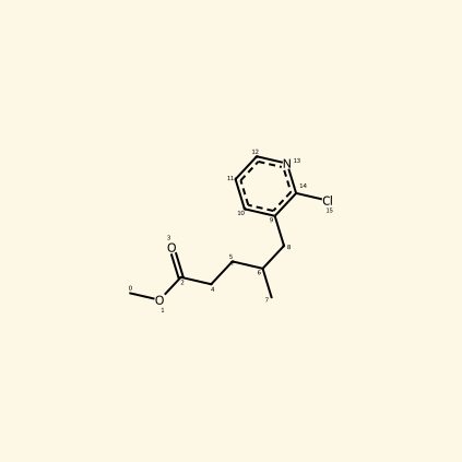 COC(=O)C[CH]C(C)Cc1cccnc1Cl